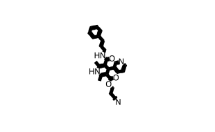 CC1=C(C(=O)NCC=Cc2ccccc2)C(c2cccnc2)C(C(=O)OCCC#N)=C(C)N1